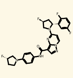 O=C(Nc1ccc(N2CC[C@H](F)C2)cc1)c1cnn2ccc(N3C[C@@H](F)C[C@@H]3c3cc(F)ccc3F)nc12